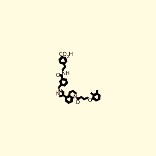 Cc1cccc(OCCCC(=O)N2CCCc3c(-c4cnn(Cc5cccc(C(=O)NCCc6ccc(C(=O)O)cc6)c5)c4)cccc32)c1C